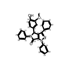 COc1cc(C2c3c(-c4ccccc4)nn(-c4ccccc4)c3C(=O)N2c2ccccc2)ccc1O